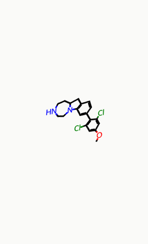 COc1cc(Cl)c(-c2ccc3c(c2)N2CCNCCC2C3)c(Cl)c1